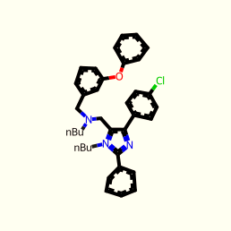 CCCCN(Cc1cccc(Oc2ccccc2)c1)Cc1c(-c2ccc(Cl)cc2)nc(-c2ccccc2)n1CCCC